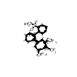 NS(=O)(=O)c1ccccc1-c1ccccc1-c1cc(C(F)(F)F)c(C(F)(F)F)c(C(F)(F)F)c1